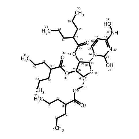 CCCC(CCC)C(=O)OC[C@H]1O[C@@H](N2C=CC(NO)=NC2O)[C@H](OC(=O)C(CCC)CCC)[C@@H]1OC(=O)C(CCC)CCC